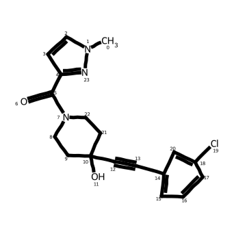 Cn1ccc(C(=O)N2CCC(O)(C#Cc3cccc(Cl)c3)CC2)n1